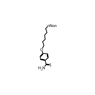 CCCCCCCCCCCCCCCOc1ccc(C(N)=S)cc1